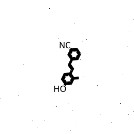 Cc1cc(O)ccc1/C=C/c1cccc(C#N)c1